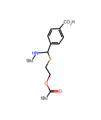 CC(C)(C)NC(SCCOC(=O)C(C)(C)C)c1ccc(C(=O)O)cc1